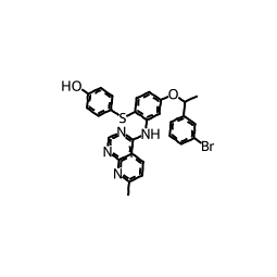 Cc1ccc2c(Nc3cc(OC(C)c4cccc(Br)c4)ccc3Sc3ccc(O)cc3)ncnc2n1